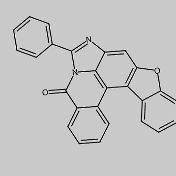 O=c1c2ccccc2c2c3c(cc4nc(-c5ccccc5)n1c42)oc1ccccc13